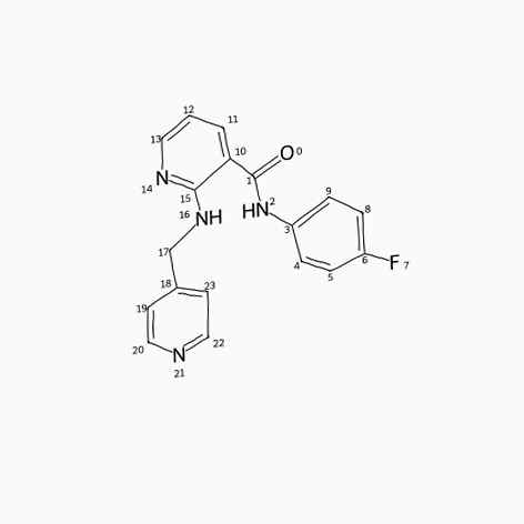 O=C(Nc1ccc(F)cc1)c1cccnc1NCc1ccncc1